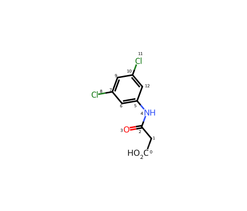 O=C(O)CC(=O)Nc1cc(Cl)cc(Cl)c1